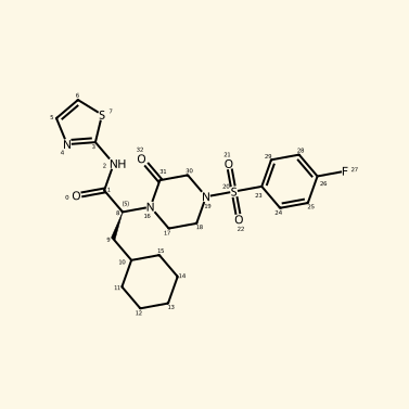 O=C(Nc1nccs1)[C@H](CC1CCCCC1)N1CCN(S(=O)(=O)c2ccc(F)cc2)CC1=O